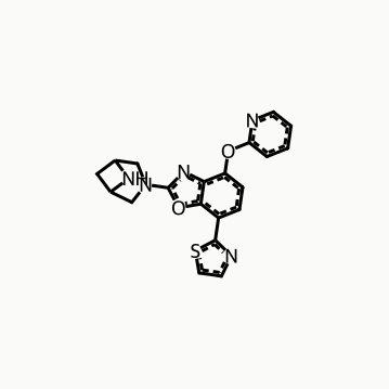 c1ccc(Oc2ccc(-c3nccs3)c3oc(N4CC5CC(C4)N5)nc23)nc1